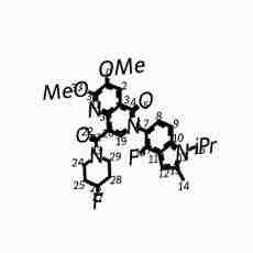 COc1cc2c(=O)n(-c3ccc4c(cc(C)n4C(C)C)c3F)cc(C(=O)N3CCC(F)CC3)c2nc1OC